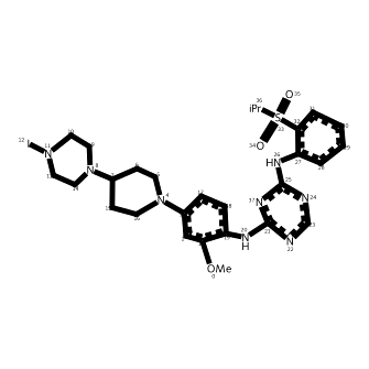 COc1cc(N2CCC(N3CCN(I)CC3)CC2)ccc1Nc1ncnc(Nc2ccccc2S(=O)(=O)C(C)C)n1